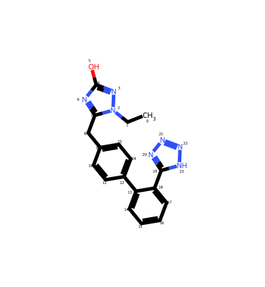 CCn1nc(O)nc1Cc1ccc(-c2ccccc2-c2nnn[nH]2)cc1